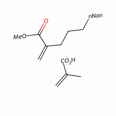 C=C(C)C(=O)O.C=C(CCCCCCCCCCCC)C(=O)OC